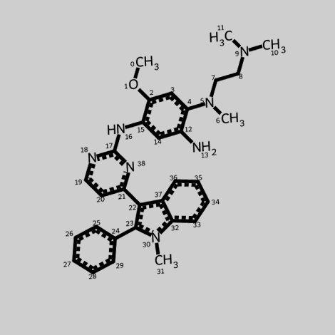 COc1cc(N(C)CCN(C)C)c(N)cc1Nc1nccc(-c2c(-c3ccccc3)n(C)c3ccccc23)n1